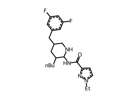 CCCCC1CC(Cc2cc(F)cc(F)c2)CNC1NC(=O)c1ccn(CC)n1